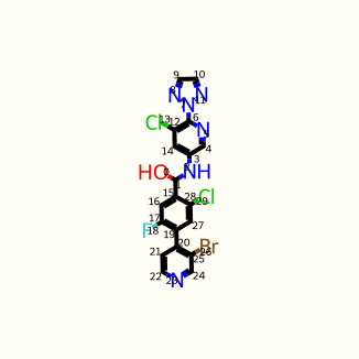 OC(Nc1cnc(-n2nccn2)c(Cl)c1)c1cc(F)c(-c2ccncc2Br)cc1Cl